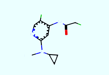 CN(c1cc(NC(=O)CCl)c(Cl)cn1)C1CC1